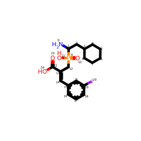 NC(CC1CCCCC1)P(=O)(O)C/C(=C\c1cccc(I)c1)C(=O)O